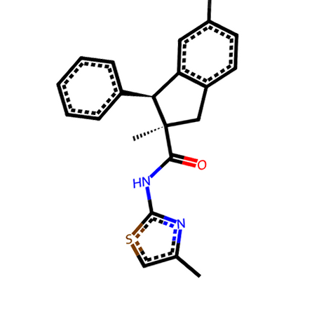 COc1ccc2c(c1)[C@H](c1ccccc1)[C@](C)(C(=O)Nc1nc(C)cs1)C2